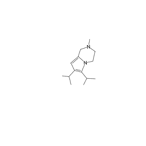 CC(C)c1cc2n(c1C(C)C)CCN(C)C2